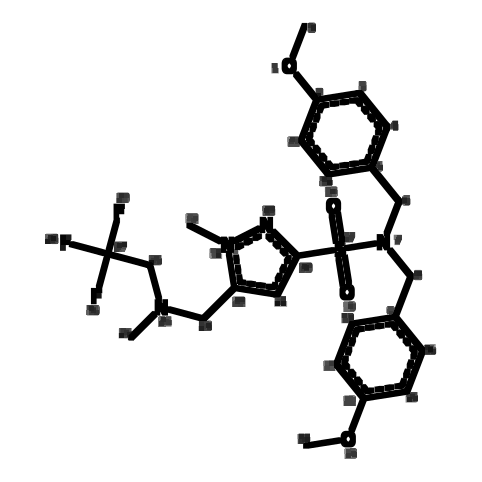 COc1ccc(CN(Cc2ccc(OC)cc2)S(=O)(=O)c2cc(CN(C)CC(F)(F)F)n(C)n2)cc1